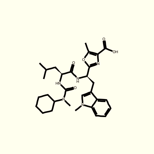 Cc1oc([C@@H](Cc2cn(C)c3ccccc23)NC(=O)[C@H](CC(C)C)NC(=O)N(C)C2CCCCC2)nc1C(=O)O